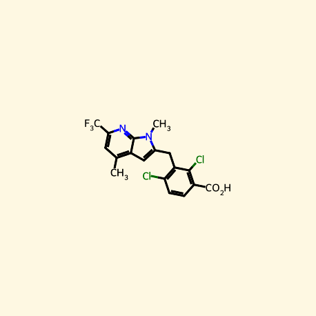 Cc1cc(C(F)(F)F)nc2c1cc(Cc1c(Cl)ccc(C(=O)O)c1Cl)n2C